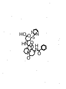 O=C(O)C[C@H](NC(=O)[C@@H]1CCCN2C(=O)CC[C@H](NC(=O)c3ccccc3)C(=O)N12)C(=O)CSc1ncccn1